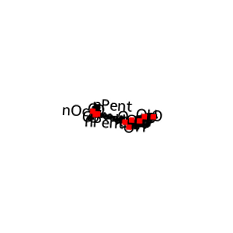 CCCCCCCCC(OC(=O)CCCCC)C(CCCCCCCC(=O)OCC(=O)[C@@]1(O)[C@H](C)C[C@H]2[C@@H]3CCC4=CC(=O)C=C[C@]4(C)[C@@]3(F)[C@@H](O)C[C@@]21C)OC(=O)CCCCC